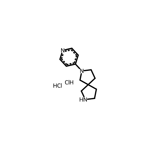 Cl.Cl.c1cc(N2CCC3(CCNC3)C2)ccn1